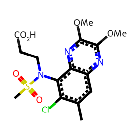 COc1nc2cc(C)c(Cl)c(N(CCC(=O)O)S(C)(=O)=O)c2nc1OC